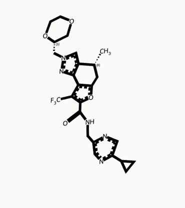 C[C@@H]1Cc2oc(C(=O)NCc3cnc(C4CC4)cn3)c(C(F)(F)F)c2-c2nn(C[C@H]3COCCO3)cc21